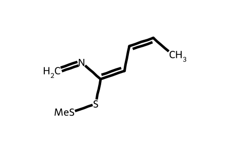 C=N/C(=C\C=C/C)SSC